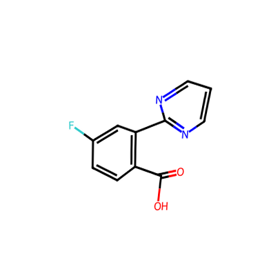 O=C(O)c1ccc(F)cc1-c1ncccn1